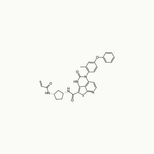 C=CC(=O)N[C@H]1CC[C@@H](NC(=O)c2sc3nccc4c3c2NC(=O)N4c2ccc(Oc3ccccc3)cc2C)C1